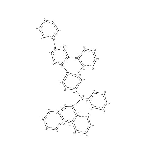 c1ccc(-c2ccc(-c3ccc(N(c4ccccc4)c4cc5ccccc5c5ccccc45)cc3-c3ccccc3)cc2)cc1